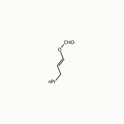 CCCC/C=C/O[C]=O